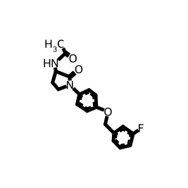 CC(=O)NC1CCN(c2ccc(OCc3cccc(F)c3)cc2)C1=O